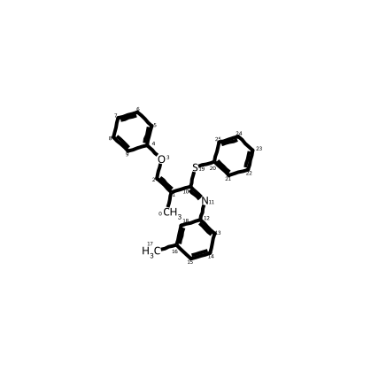 CC(=COc1ccccc1)C(=Nc1cccc(C)c1)Sc1ccccc1